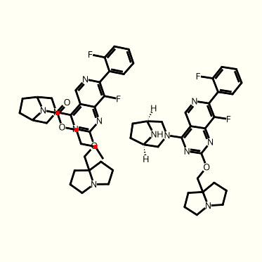 CCCCOC(=O)N1C2CCC1CN(c1nc(OCC34CCCN3CCC4)nc3c(F)c(-c4ccccc4F)ncc13)C2.Fc1ccccc1-c1ncc2c(N3C[C@H]4CC[C@@H](C3)N4)nc(OCC34CCCN3CCC4)nc2c1F